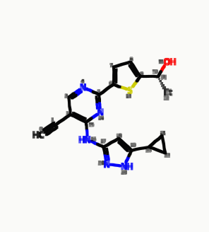 C#Cc1cnc(-c2ccc([C@H](O)CC)s2)nc1Nc1cc(C2CC2)[nH]n1